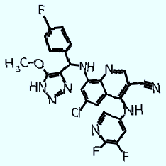 COc1[nH]nnc1C(Nc1cc(Cl)cc2c(Nc3cnc(F)c(F)c3)c(C#N)cnc12)c1ccc(F)cc1